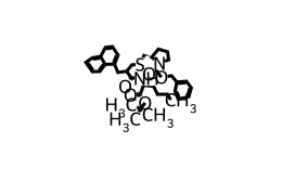 CCCC[C@H](NC(=O)C(CSC[C@@H]1CCCN1C(=O)OCc1ccccc1)Cc1cccc2ccccc12)C(=O)OC(C)(C)C